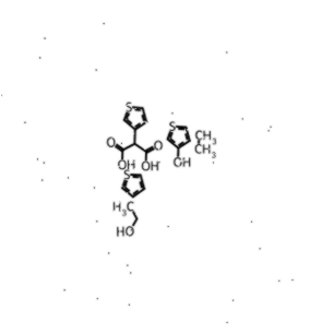 CC.CCO.O=C(O)C(C(=O)O)c1ccsc1.Oc1ccsc1.c1ccsc1